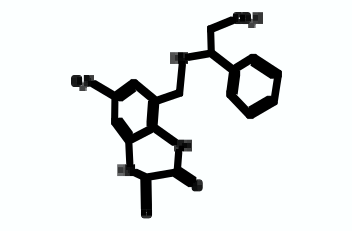 O=C(O)CC(NCc1cc([N+](=O)[O-])cc2[nH]c(=O)c(=O)[nH]c12)c1ccccc1